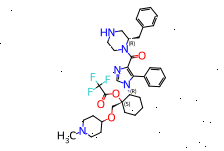 CN1CCC(OC[C@]2(OC(=O)C(F)(F)F)CCCC[C@H]2n2cnc(C(=O)N3CCNC[C@H]3Cc3ccccc3)c2-c2ccccc2)CC1